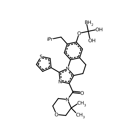 BC(O)(O)Oc1cc2c(cc1CC(C)C)-n1c(-c3ccsc3)nc(C(=O)N3CCOCC3(C)C)c1CC2